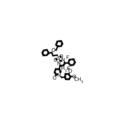 COc1ccc(Cn2cc(-c3cc(-c4ccccc4F)nc(S(=O)(=O)CCC(OCc4ccccc4)c4ccccc4)n3)ccc2=O)cc1OC